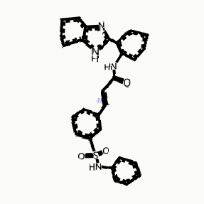 O=C(/C=C/c1cccc(S(=O)(=O)Nc2ccccc2)c1)Nc1ccccc1-c1nc2ccccc2[nH]1